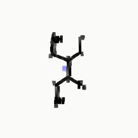 CC/C(C=N)=C(\F)C=N